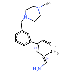 C=C/C(=C\C(C)=C/N)c1cccc(CN2CCN(C(C)C)CC2)c1